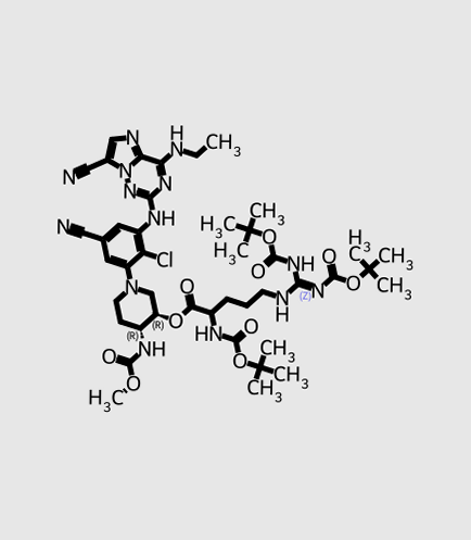 CCNc1nc(Nc2cc(C#N)cc(N3CC[C@@H](NC(=O)OC)[C@H](OC(=O)C(CCCN/C(=N/C(=O)OC(C)(C)C)NC(=O)OC(C)(C)C)NC(=O)OC(C)(C)C)C3)c2Cl)nn2c(C#N)cnc12